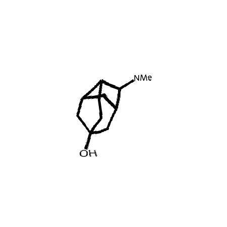 CNC1C2CC3CC(O)(C2)CC31